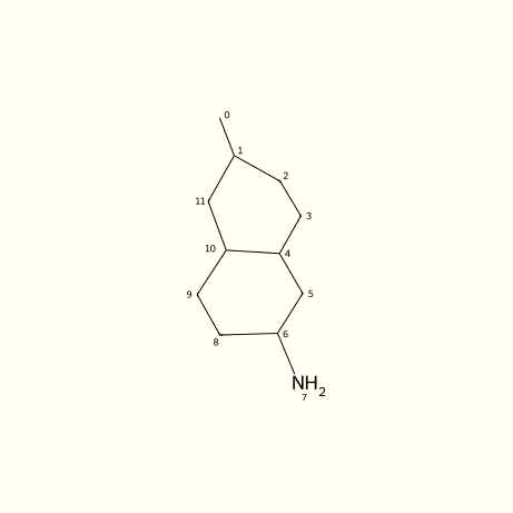 CC1CCC2CC(N)CCC2C1